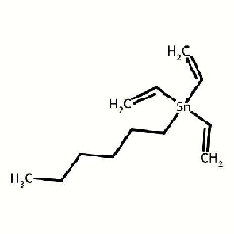 C=[CH][Sn]([CH]=C)([CH]=C)[CH2]CCCCC